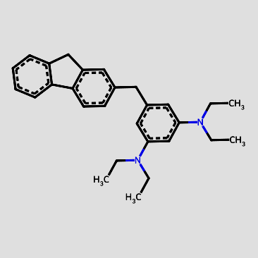 CCN(CC)c1cc(Cc2ccc3c(c2)Cc2ccccc2-3)cc(N(CC)CC)c1